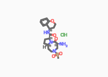 CS(=O)(=O)N1CC[C@H]2CC[C@@H](C(=O)N[C@@H]3CCOc4ccccc43)N2C(=O)[C@@H](N)C1.Cl